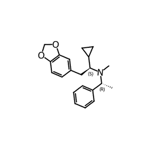 C[C@H](c1ccccc1)N(C)[C@@H](Cc1ccc2c(c1)OCO2)C1CC1